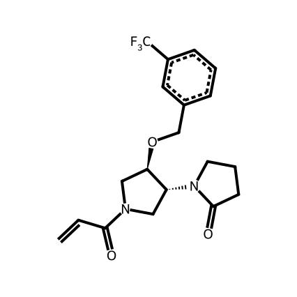 C=CC(=O)N1C[C@@H](N2CCCC2=O)[C@H](OCc2cccc(C(F)(F)F)c2)C1